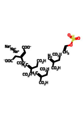 C=C(CC(=O)O)C(=O)O.C=C(CC(=O)O)C(=O)O.C=C(CC(=O)O)C(=O)O.C=CO[SH](=O)=O.O=C([O-])C=C(CC(=O)[O-])C(=O)[O-].[Na+].[Na+].[Na+]